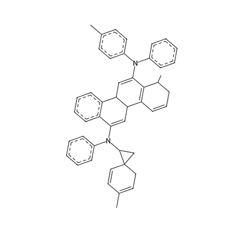 CC1=CCC2(C=C1)CC2N(C1=CC2C3=C(C(N(c4ccccc4)c4ccc(C)cc4)=CC2c2ccccc21)C(C)CC=C3)c1ccccc1